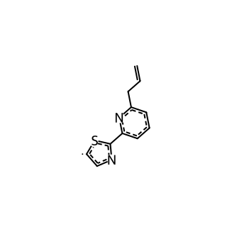 C=CCc1cccc(-c2nc[c]s2)n1